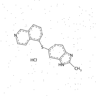 Cc1nc2ccc(Sc3cccc4cnccc34)cc2[nH]1.Cl